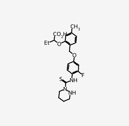 CCC(Oc1cc(C)ccc1COc1ccc(NC(=S)N2CCCCN2)c(F)c1)C(=O)O